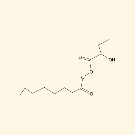 CCCCCCCC(=O)OOC(=O)C(O)CC